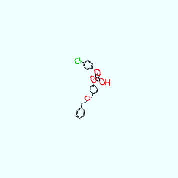 OB(Oc1ccc(Cl)cc1)Oc1ccc(COCCc2ccccc2)cc1